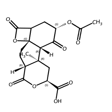 CC(=O)O[C@H]1CC2C(=O)O[C@]23CC[C@H]2C(=O)O[C@H](C(=O)O)C[C@]2(C)[C@H]3C1=O